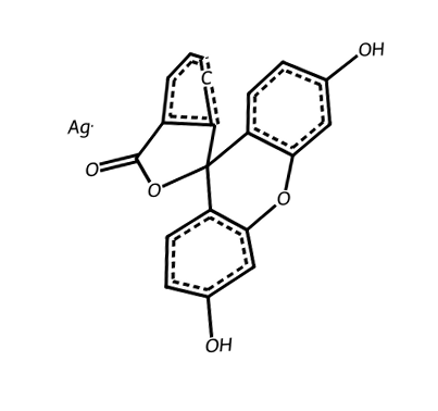 O=C1OC2(c3ccc(O)cc3Oc3cc(O)ccc32)c2ccccc21.[Ag]